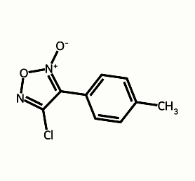 Cc1ccc(-c2c(Cl)no[n+]2[O-])cc1